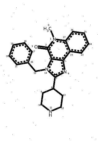 Cn1c(=O)c2c(nc(C3CCNCC3)n2Cc2ccccc2)c2ccccc21